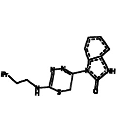 CC(C)CCNC1=NN=C(n2c(=O)[nH]c3ccccc32)CS1